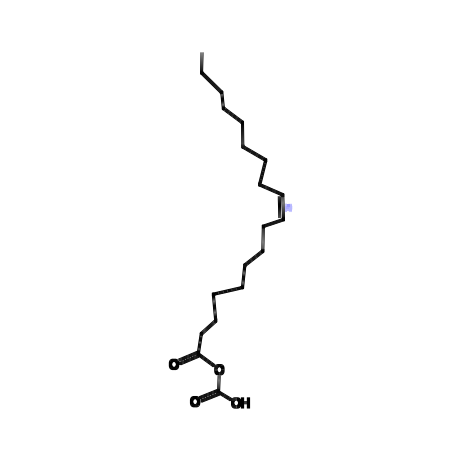 CCCCCCCC/C=C\CCCCCCCC(=O)OC(=O)O